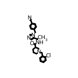 CC(NC(=O)C1CCCN(Cc2ccccc2Cl)C1)c1cncn1Cc1ccc(C#N)cc1